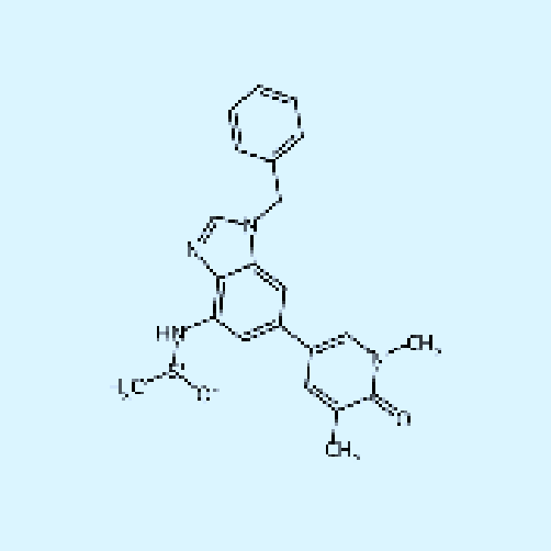 Cc1cc(-c2cc(N[S+](C)[O-])c3ncn(Cc4ccccc4)c3c2)cn(C)c1=O